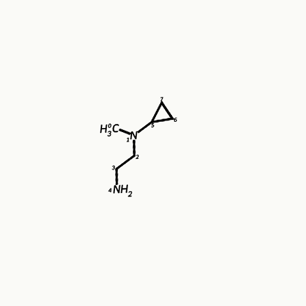 CN(CCN)C1CC1